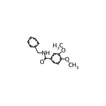 COc1ccc(C(=O)NCc2ccccc2)cc1OC